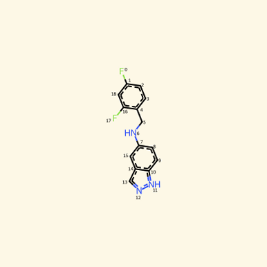 Fc1ccc(CNc2ccc3[nH]ncc3c2)c(F)c1